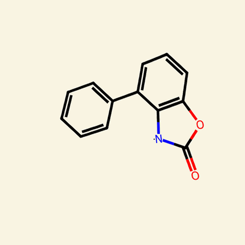 O=C1[N]c2c(cccc2-c2ccccc2)O1